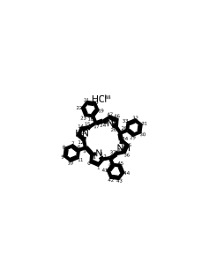 C1=Cc2nc1c(-c1ccccc1)c1ccc([nH]1)c(-c1ccccc1)c1nc(c(-c3ccccc3)c3ccc([nH]3)c2-c2ccccc2)C=C1.Cl